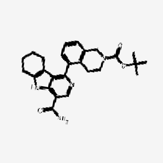 CC(C)(C)OC(=O)N1CCc2c(cccc2-c2ncc(C(N)=O)c3[nH]c4c(c23)CCCC4)C1